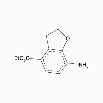 CCOC(=O)c1ccc(N)c2c1CCO2